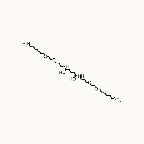 NCCCOCCOCCOCCCNC(O)CCC[C@H](O)NCCCOCCOCCOCCCN